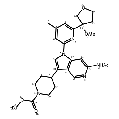 CO[C@@]1(c2cc(C)cc(-n3cc(C4CCN(C(=O)OC(C)(C)C)CC4)c4cnc(NC(C)=O)cc43)n2)CCOC1